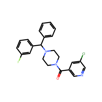 O=C(c1cncc(Cl)c1)N1CCN(C(c2ccccc2)c2cccc(F)c2)CC1